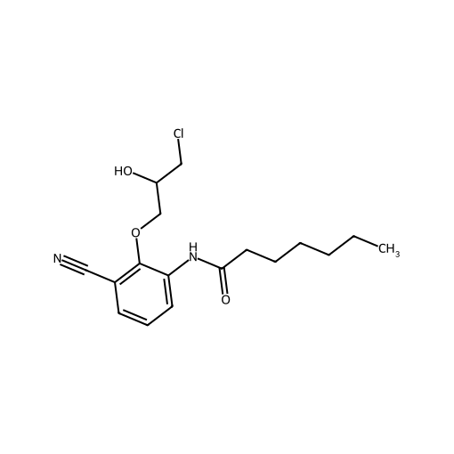 CCCCCCC(=O)Nc1cccc(C#N)c1OCC(O)CCl